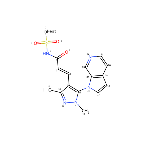 CCCCCS(=O)(=O)NC(=O)C=Cc1c(C)nn(C)c1-n1ccc2ccncc21